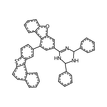 c1ccc(C2N=C(c3cc(-c4ccc5sc6ccc7ccccc7c6c5c4)c4c(c3)oc3ccccc34)NC(c3ccccc3)N2)cc1